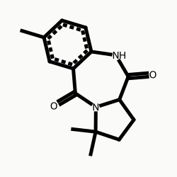 Cc1ccc2c(c1)C(=O)N1C(CCC1(C)C)C(=O)N2